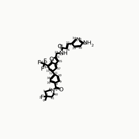 CC1(F)CCN(C(=O)c2ccc(-c3cc(C(F)(F)F)c4oc(CNC(=O)C=Cc5ccc(N)nc5)cc4c3)cc2)CC1